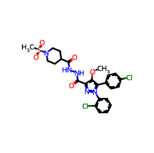 COc1c(C(=O)NNC(=O)C2CCN(S(C)(=O)=O)CC2)nn(-c2ccccc2Cl)c1-c1ccc(Cl)cc1